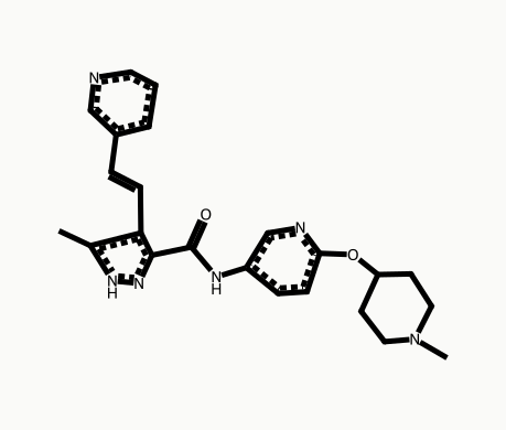 Cc1[nH]nc(C(=O)Nc2ccc(OC3CCN(C)CC3)nc2)c1/C=C/c1cccnc1